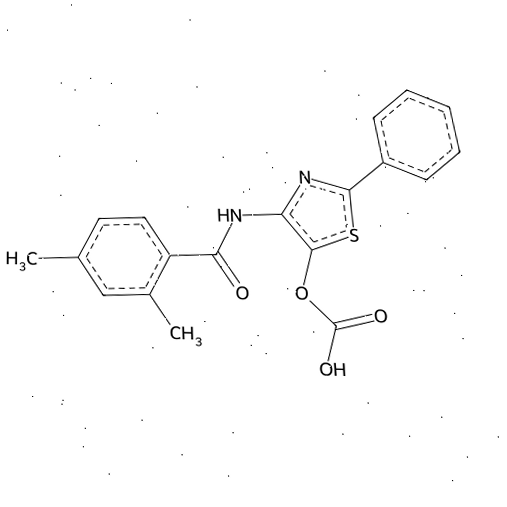 Cc1ccc(C(=O)Nc2nc(-c3ccccc3)sc2OC(=O)O)c(C)c1